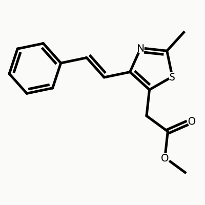 COC(=O)Cc1sc(C)nc1/C=C/c1ccccc1